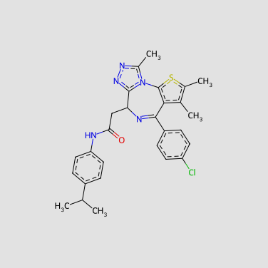 Cc1sc2c(c1C)C(c1ccc(Cl)cc1)=NC(CC(=O)Nc1ccc(C(C)C)cc1)c1nnc(C)n1-2